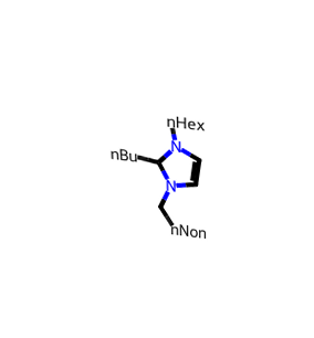 CCCCCCCCCCN1C=CN(CCCCCC)C1CCCC